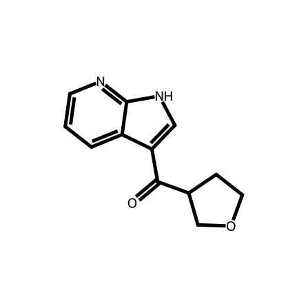 O=C(c1c[nH]c2ncccc12)C1CCOC1